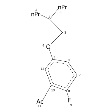 CCCC(CCC)COc1ccc(F)c(C(C)=O)c1